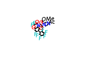 COC(=O)[C@@H]1CN(C(C)=O)CCN1C(=O)CN1C(=O)C(F)(F)Oc2cc(F)c(-c3c(F)c(F)c(F)c(F)c3F)cc21